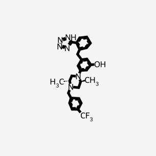 C[C@@H]1CN(c2cc(O)cc(Cc3ccccc3-c3nnn[nH]3)c2)[C@@H](C)CN1Cc1ccc(C(F)(F)F)cc1